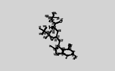 Cc1nc2cc(F)cc(Br)c2n1C[C@H](CNC(=O)OC(C)(C)C)O[Si](C)(C)C(C)(C)C